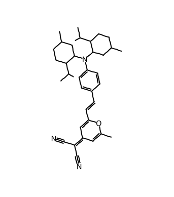 CC1=CC(=C(C#N)C#N)C=C(C=Cc2ccc(N(C3CC(C)CCC3C(C)C)C3CC(C)CCC3C(C)C)cc2)O1